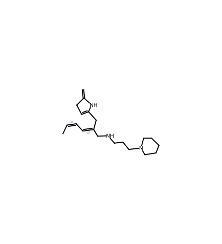 C=C1CC=C(C/C(=C\C=C/C)CNCCCN2CCCCC2)N1